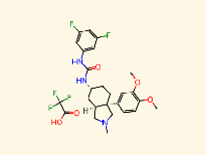 COc1ccc([C@@]23CC[C@@H](NC(=O)Nc4cc(F)cc(F)c4)C[C@@H]2CN(C)C3)cc1OC.O=C(O)C(F)(F)F